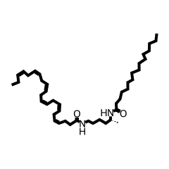 CC/C=C\C/C=C\C/C=C\C/C=C\C/C=C\C/C=C\CCC(=O)NCCCC[C@@H](C)NC(=O)CCCCCCCCCCCCCCC